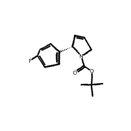 CC(C)(C)OC(=O)N1CC=C[C@H]1c1ccc(F)cc1